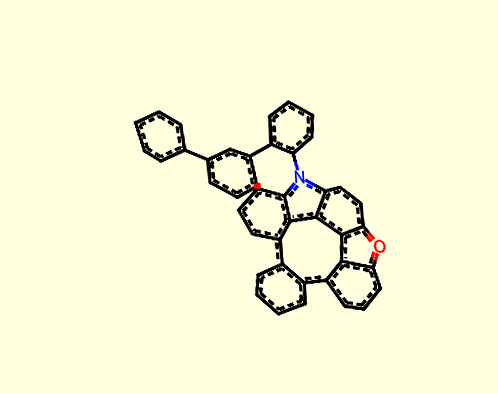 c1ccc(-c2cccc(-c3ccccc3-n3c4cccc5c6ccccc6c6cccc7oc8ccc3c(c8c76)c54)c2)cc1